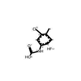 Cc1ccc(NC(=O)O)cc1Cl.F